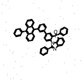 O=P1(c2ccccc2)c2cc(-c3cccc(-c4c5ccccc5c(-c5ccccc5)c5ccccc45)c3)ccc2-n2c(-c3ccccc3)nc3cccc1c32